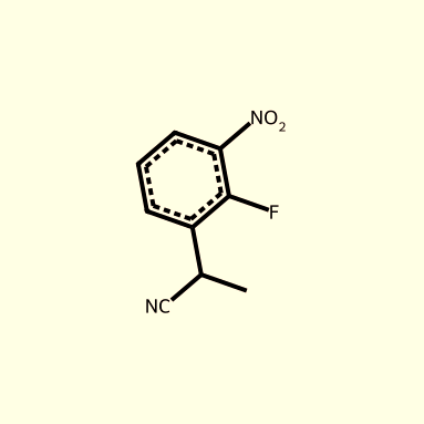 CC(C#N)c1cccc([N+](=O)[O-])c1F